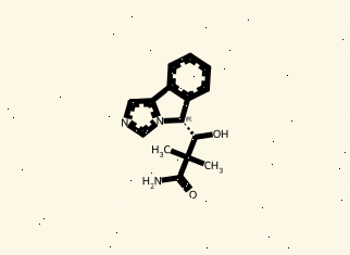 CC(C)(C(N)=O)C(O)[C@H]1c2ccccc2-c2cncn21